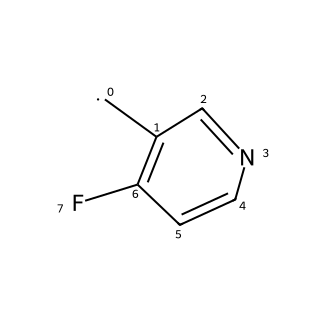 [CH2]c1cnccc1F